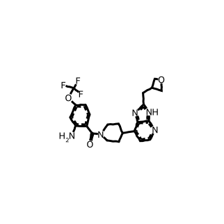 Nc1cc(OC(F)(F)F)ccc1C(=O)N1CCC(c2ccnc3[nH]c(CC4COC4)nc23)CC1